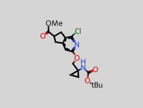 COC(=O)C1Cc2cc(OCC3(NC(=O)OC(C)(C)C)CC3)nc(Cl)c2C1